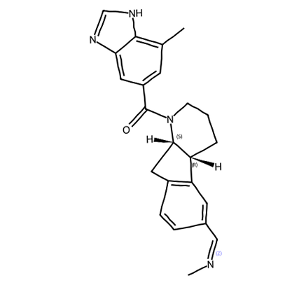 C/N=C\c1ccc2c(c1)[C@H]1CCCN(C(=O)c3cc(C)c4[nH]cnc4c3)[C@H]1C2